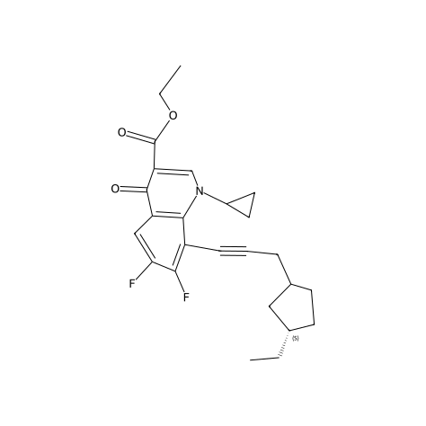 CCOC(=O)c1cn(C2CC2)c2c(C#CCC3CC[C@H](CC)C3)c(F)c(F)cc2c1=O